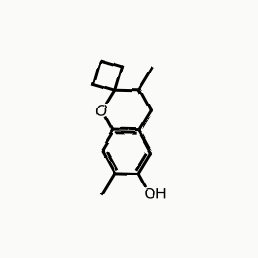 Cc1cc2c(cc1O)CC(C)C1(CCC1)O2